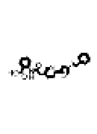 O=C(Cc1ccc(-c2cc(OCc3ccccc3)cs2)nc1)Nc1ccccc1C(=O)O